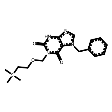 C[Si](C)(C)CCOCn1c(=O)[nH]c2ncn(Cc3ccccc3)c2c1=O